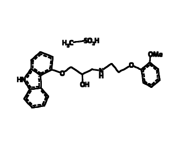 COc1ccccc1OCCNCC(O)COc1cccc2[nH]c3ccccc3c12.CS(=O)(=O)O